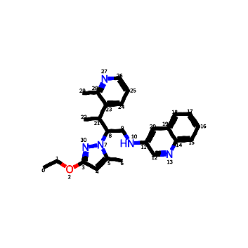 CCOc1cc(C)n(C(CNc2cnc3ccccc3c2)C(C)c2cccnc2C)n1